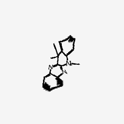 CN1c2ccccc2C(C)(C)c2nc3ccccc3nc21